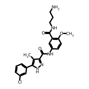 COc1ccc(NC(=O)c2n[nH]c(-c3cccc(Cl)c3)c2C)cc1C(=O)NCCCN